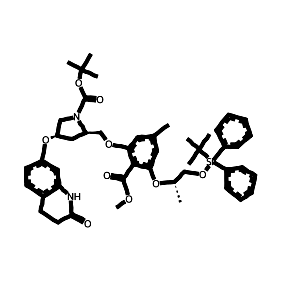 COC(=O)c1c(OC[C@H]2C[C@H](Oc3ccc4c(c3)NC(=O)CC4)CN2C(=O)OC(C)(C)C)cc(C)cc1O[C@@H](C)CO[Si](c1ccccc1)(c1ccccc1)C(C)(C)C